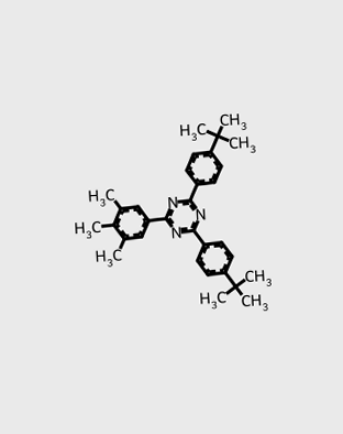 Cc1cc(-c2nc(-c3ccc(C(C)(C)C)cc3)nc(-c3ccc(C(C)(C)C)cc3)n2)cc(C)c1C